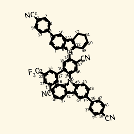 N#Cc1ccc(-c2ccc3c(c2)c2c(n3-c3cc(-c4cc(C#N)cc(C(F)(F)F)c4)c(-n4c5ccccc5c5cc(-c6ccc(C#N)cc6)ccc54)cc3C#N)C=CCC2)cc1